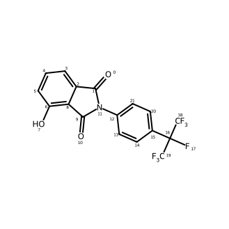 O=C1c2cccc(O)c2C(=O)N1c1ccc(C(F)(C(F)(F)F)C(F)(F)F)cc1